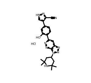 CC1(C)CC(n2nnc3cc(-c4ccc(-c5c[nH]nc5C#N)cc4O)nnc32)CC(C)(C)N1.Cl